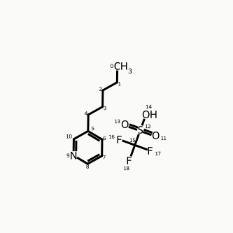 CCCCCc1cccnc1.O=S(=O)(O)C(F)(F)F